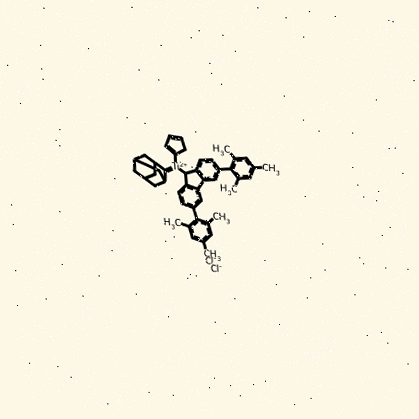 Cc1cc(C)c(-c2ccc3c(c2)-c2cc(-c4c(C)cc(C)cc4C)ccc2[CH]3[Ti+2]([C]2=CC=CC2)=[C]2C3CC4CC(C3)CC2C4)c(C)c1.[Cl-].[Cl-]